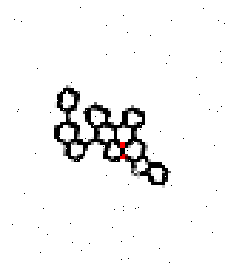 c1ccc(-c2ccc3cccc(-c4c5ccccc5c(-c5ccccc5-c5ccc6sc7ccccc7c6c5)c5ccccc45)c3c2)cc1